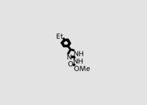 CCc1ccc(C2CN=C(NC(=O)OC)NC2)cc1